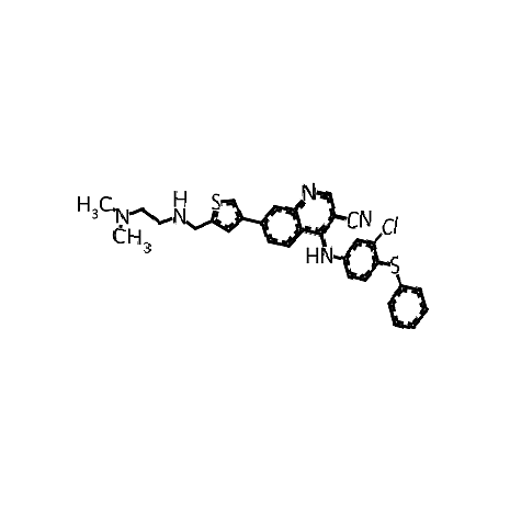 CN(C)CCNCc1cc(-c2ccc3c(Nc4ccc(Sc5ccccc5)c(Cl)c4)c(C#N)cnc3c2)cs1